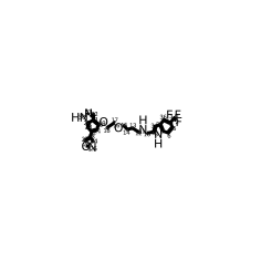 FC(F)(F)c1ccc2[nH]c(CNCCCCOCCOc3cc(-c4cnoc4)cc4[nH]ncc34)cc2c1